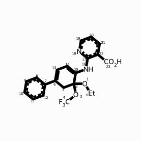 CCOC1(OC(F)(F)F)CC(c2ccccc2)=CC=C1Nc1ncccc1C(=O)O